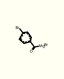 O=[C]([Mg][Br])c1ccc(Br)cc1